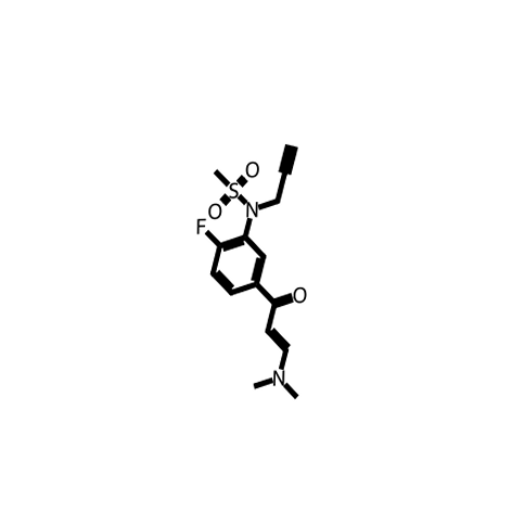 C#CCN(c1cc(C(=O)/C=C/N(C)C)ccc1F)S(C)(=O)=O